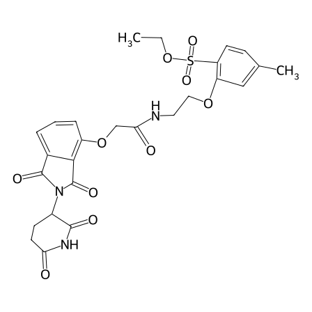 CCOS(=O)(=O)c1ccc(C)cc1OCCNC(=O)COc1cccc2c1C(=O)N(C1CCC(=O)NC1=O)C2=O